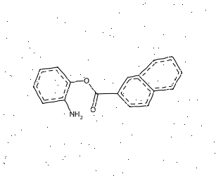 Nc1ccccc1OC(=O)c1ccc2ccccc2c1